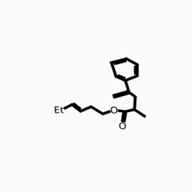 C=C(CC(C)C(=O)OCCC=CCC)c1ccccc1